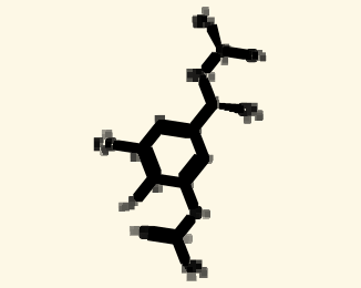 C[C@@H](N[S@+]([O-])C(C)(C)C)c1cc(OC(N)=O)c(F)c(C(F)(F)F)c1